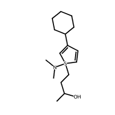 CC(O)CCS1(N(C)C)C=CC(C2CCCCC2)=C1